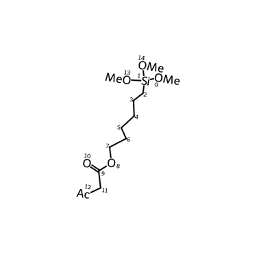 CO[Si](CCCCCCOC(=O)CC(C)=O)(OC)OC